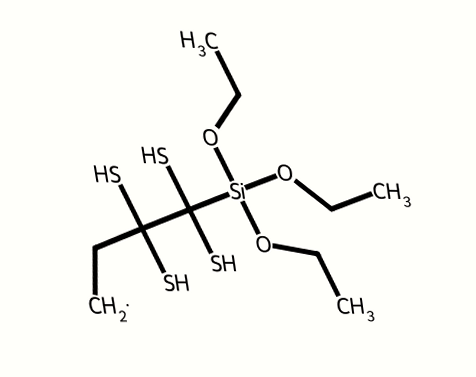 [CH2]CC(S)(S)C(S)(S)[Si](OCC)(OCC)OCC